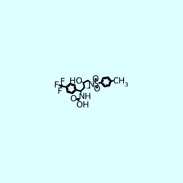 Cc1ccc(S(=O)(=O)N2C[C@H]([C@@H](NC(=O)O)c3ccc(C(F)(F)F)cc3)[C@H](O)C2)cc1